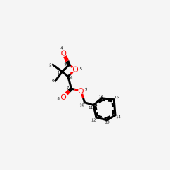 CC1(C)C(=O)OC1C(=O)OCc1ccccc1